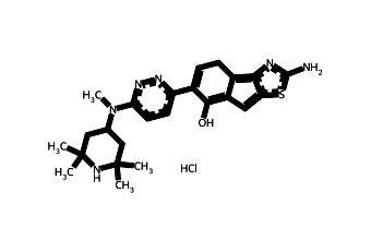 CN(c1ccc(C2=CCC3=c4nc(N)sc4=CC3=C2O)nn1)C1CC(C)(C)NC(C)(C)C1.Cl